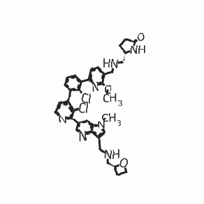 COc1nc(-c2cccc(-c3ccnc(-c4cnc5c(CNC[C@@H]6CCO6)cn(C)c5c4)c3Cl)c2Cl)ccc1CNC[C@@H]1CCC(=O)N1